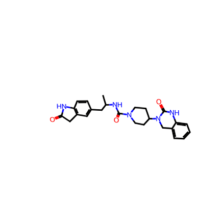 CC(Cc1ccc2c(c1)CC(=O)N2)NC(=O)N1CCC(N2Cc3ccccc3NC2=O)CC1